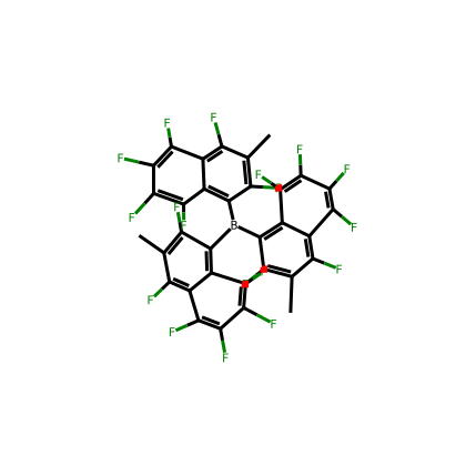 Cc1c(F)c(B(c2c(F)c(C)c(F)c3c(F)c(F)c(F)c(F)c23)c2c(F)c(C)c(F)c3c(F)c(F)c(F)c(F)c23)c2c(F)c(F)c(F)c(F)c2c1F